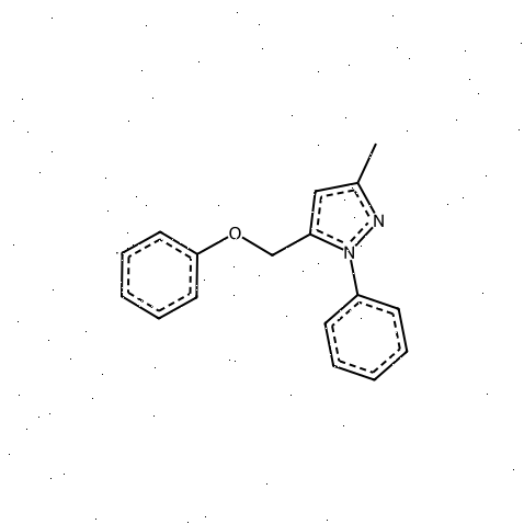 Cc1cc(COc2c[c]ccc2)n(-c2ccccc2)n1